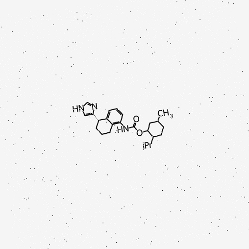 CC1CCC(C(C)C)C(OC(=O)Nc2cccc3c2CCC[C@@H]3c2c[nH]cn2)C1